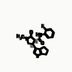 CN1C[C@H](c2csc3c2CCC3)[C@@H](C(=O)Nc2ccccc2F)C1=O